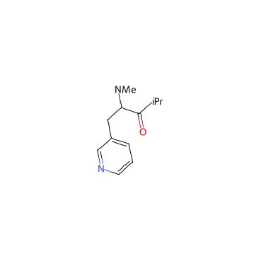 CNC(Cc1cccnc1)C(=O)C(C)C